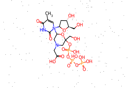 CC1=C[N+](C2CN(CC(=O)O)CC(CO)(OP(=O)(O)OP(=O)(O)OP(=O)(O)O)O2)([C@H]2C[C@H](O)[C@@H](CO)O2)C(=O)NC1=O